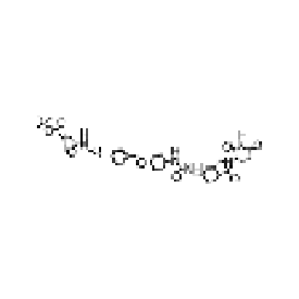 CC(C)(C)OC(=O)NCC(=O)NCOCc1ccc(COc2ccc(NC(=O)NCc3ccc4c(c3)CN(C3CCC(=O)NC3=O)C4=O)cc2)cc1